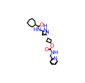 O=C(NCc1ccccn1)O[C@H]1C[C@@H](c2cc(NC(=O)C3CCCCCC3)[nH]n2)C1